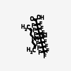 C=CCNCC=C.Cl.O=C(O)C(F)(F)C(F)(F)C(F)(F)C(F)(F)C(F)(F)C(F)(F)C(F)(F)F